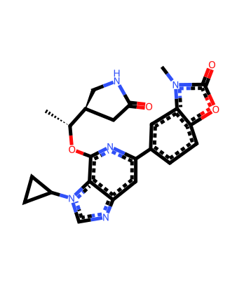 C[C@@H](Oc1nc(-c2ccc3oc(=O)n(C)c3c2)cc2ncn(C3CC3)c12)[C@H]1CNC(=O)C1